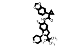 CC(C)(C)C1Cc2cc(NC(=O)C3(c4ccc5c(c4)OCO5)CC3)c(F)cc2N1C1CCOCC1